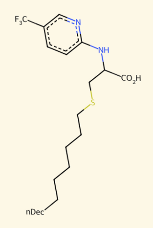 CCCCCCCCCCCCCCCCSCC(Nc1ccc(C(F)(F)F)cn1)C(=O)O